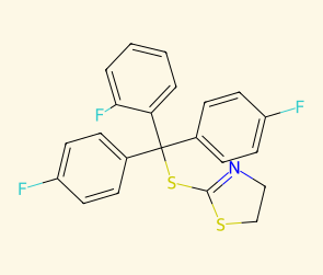 Fc1ccc(C(SC2=NCCS2)(c2ccc(F)cc2)c2ccccc2F)cc1